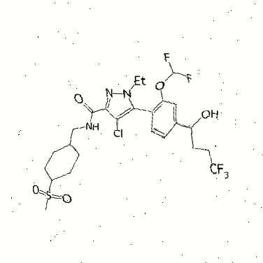 CCn1nc(C(=O)NCC2CCC(S(C)(=O)=O)CC2)c(Cl)c1-c1ccc(C(O)CCC(F)(F)F)cc1OC(F)F